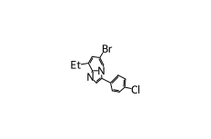 CCc1cc(Br)cn2c(-c3ccc(Cl)cc3)cnc12